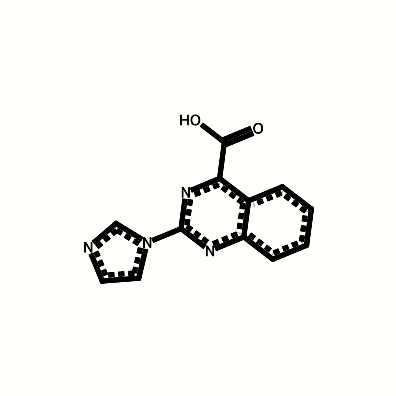 O=C(O)c1nc(-n2ccnc2)nc2ccccc12